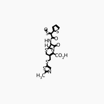 Cc1ncc(SCC2=C(C(=O)O)N3C(=O)C(NC(=O)C(=S=O)c4cccs4)[C@H]3SC2)s1